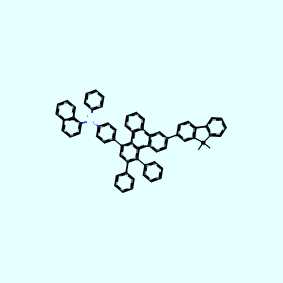 CC1(C)c2ccccc2-c2ccc(-c3ccc4c(c3)c3ccccc3c3c(-c5ccc(N(c6ccccc6)c6cccc7ccccc67)cc5)cc(-c5ccccc5)c(-c5ccccc5)c43)cc21